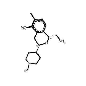 Cc1ccc2c(c1O)C[C@@H](C1CCN(C(C)C)CC1)O[C@H]2CN